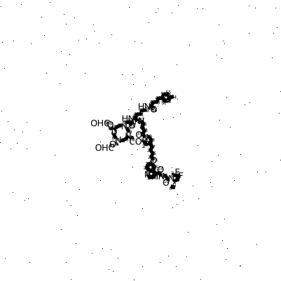 C#C[C@H]1CC(F)(F)CN1C(=O)CNC(=O)c1ccnc2ccc(OCCCCC3CCN(C(=O)CC/C=N\NC(CCCCNC(=O)CCCc4ccc(C)cc4)NC(=O)CN4CCN(COC=O)CCN(COC=O)CCN(CC(=O)O)CC4)CC3)cc12